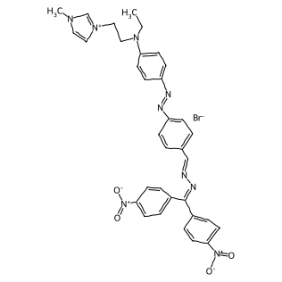 CCN(CC[n+]1ccn(C)c1)c1ccc(N=Nc2ccc(C=NN=C(c3ccc([N+](=O)[O-])cc3)c3ccc([N+](=O)[O-])cc3)cc2)cc1.[Br-]